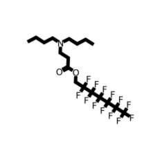 CCCCN(CCCC)CCC(=O)OCC(F)(F)C(F)(F)C(F)(F)C(F)(F)C(F)(F)C(F)(F)F